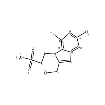 CS(=O)(=O)CCn1c(CCl)cc2cc(Cl)cc(F)c21